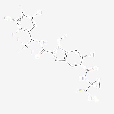 CCn1c(C(=O)NC(c2cc(Cl)c(F)c(Cl)c2F)C(F)(F)F)cc2cc(C(=O)NC3(C(N)=S)CC3)c(Cl)cc21